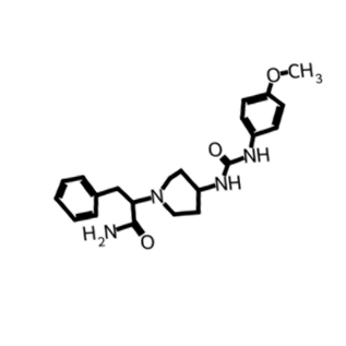 COc1ccc(NC(=O)NC2CCN(C(Cc3ccccc3)C(N)=O)CC2)cc1